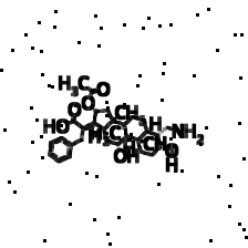 CC(=O)O[C@H]1C[C@@]2(C)[C@@H](C[C@@H](O)[C@H]3[C@@]4(C)CC[C@@H](O)[C@@H](CN)[C@@H]4CC[C@@]32C)/C1=C(\Cc1ccccc1)C(=O)O